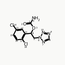 NC(=O)OC(Cn1ncnn1)c1cc(Cl)ccc1Cl